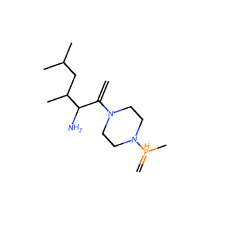 C=C(C(N)C(C)CC(C)C)N1CCN([PH](=C)C)CC1